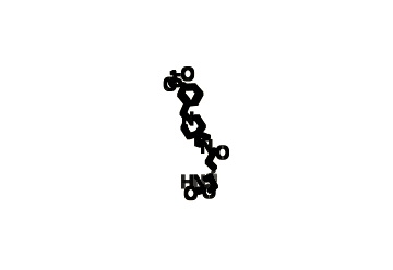 CS(=O)(=O)c1cccc(CN2CCC3(CC2)CN(C(=O)CC[C@@H]2COC(=O)N2)C3)c1